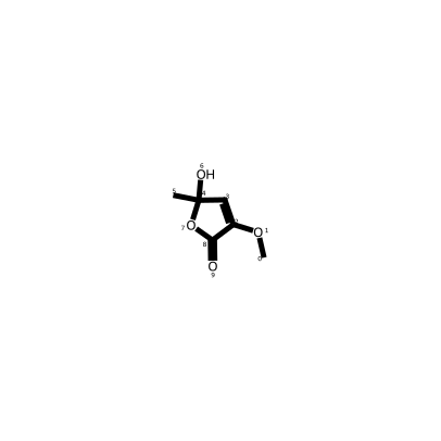 COC1=CC(C)(O)OC1=O